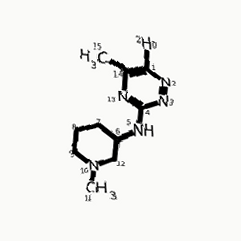 [2H]c1nnc(NC2CCCN(C)C2)nc1C